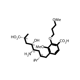 COCCCOc1c(C(=O)O)ccc(C[C@@H](C[C@H](N)[C@@H](O)C[C@@H](C)C(=O)O)C(C)C)c1OC